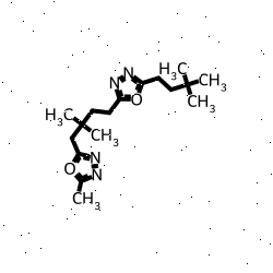 Cc1nnc(CC(C)(C)CCc2nnc(CCC(C)(C)C)o2)o1